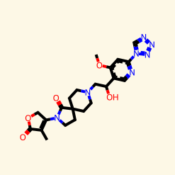 COc1cc(-n2cnnn2)ncc1C(O)CN1CCC2(CC1)CCN(C1=C(C)C(=O)OC1)C2=O